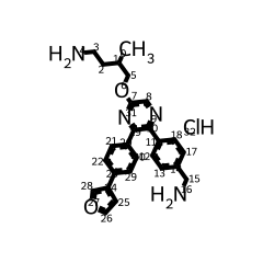 CC(CCN)COc1cnc(-c2ccc(CN)cc2)c(-c2ccc(-c3ccoc3)cc2)n1.Cl